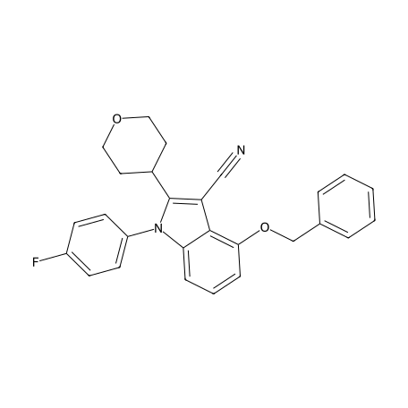 N#Cc1c(C2CCOCC2)n(-c2ccc(F)cc2)c2cccc(OCc3ccccc3)c12